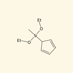 CCO[Si](C)(OCC)C1C=CC=C1